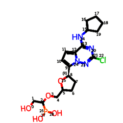 OCC(OCC1CC[C@H](c2ccc3c(NC4CCCC4)nc(Cl)nn23)O1)P(O)O